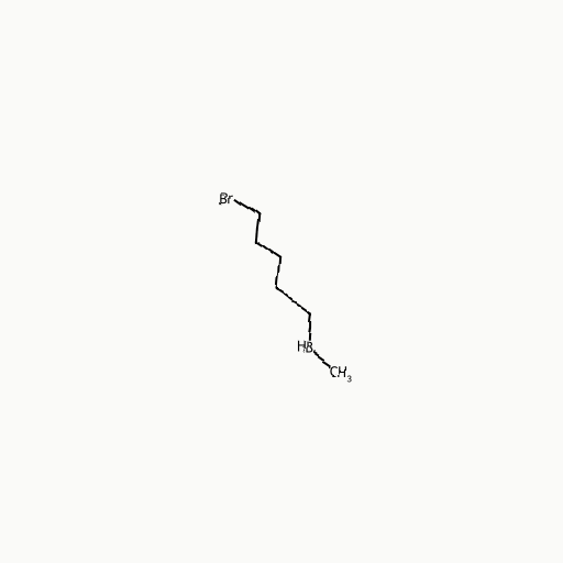 CBCCCCCBr